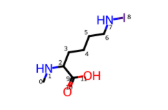 CNC(CCCCNI)C(=O)O